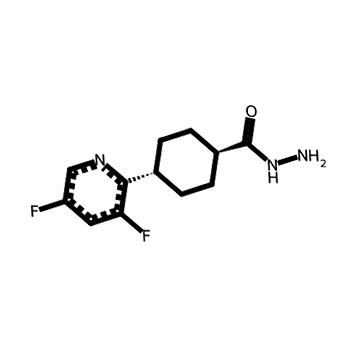 NNC(=O)[C@H]1CC[C@H](c2ncc(F)cc2F)CC1